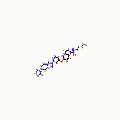 CCCCCNC(=O)n1ccc2cc(Oc3ccnc(NC(=O)N4CCC(N5CCCC5)CC4)c3)ccc21